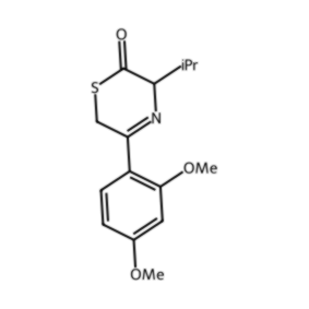 COc1ccc(C2=NC(C(C)C)C(=O)SC2)c(OC)c1